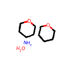 C1CCOCC1.C1CCOCC1.N.O